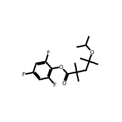 CC(C)OC(C)(C)CC(C)(C)C(=O)Oc1c(F)cc(F)cc1F